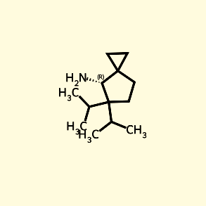 CC(C)C1(C(C)C)CCC2(CC2)[C@H]1N